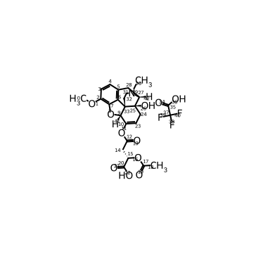 COc1ccc2c3c1O[C@H]1C(OC(=O)C[C@H](OC(C)=O)C(=O)O)=CC[C@@]4(O)[C@@H](C2)N(C)CC[C@]314.O=C(O)C(F)(F)F